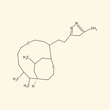 CC1=NN=C(CCC2CCCCCCC(C)C(C)[C@@H]3CCCC2CC(C)C3)C1